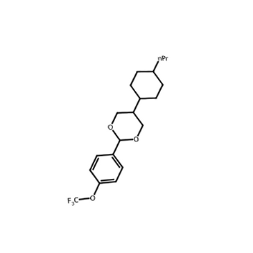 CCCC1CCC(C2COC(c3ccc(OC(F)(F)F)cc3)OC2)CC1